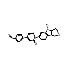 Cn1c2c(c3ccc(-n4ccc(-c5ccc(C=O)cc5)cc4=O)cc31)CNCC2